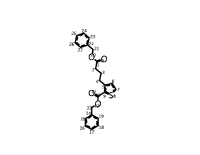 O=C(CCCc1ccsc1C(=O)OCc1ccccc1)OCc1ccccc1